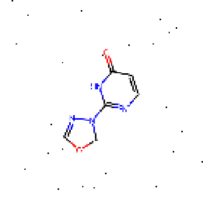 O=c1ccnc(N2COC=N2)[nH]1